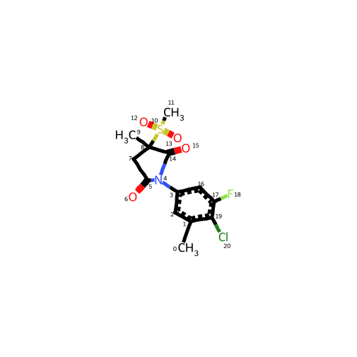 Cc1cc(N2C(=O)CC(C)(S(C)(=O)=O)C2=O)cc(F)c1Cl